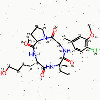 CC[C@]1(C)NC(=O)[C@H](CCCCO)NC(=O)[C@H]2CCCN2C(=O)[C@H](Cc2ccc(Cl)c(OC)c2)NC1=O